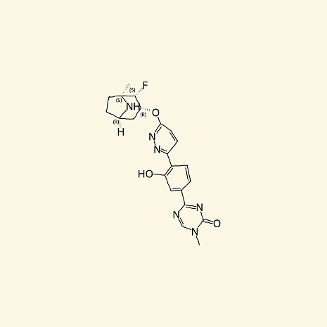 Cn1cnc(-c2ccc(-c3ccc(O[C@@H]4C[C@H]5CC[C@](C)(N5)[C@@H]4F)nn3)c(O)c2)nc1=O